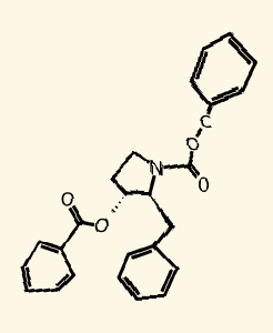 O=C(O[C@@H]1CCN(C(=O)OCc2ccccc2)[C@H]1Cc1ccccc1)c1ccccc1